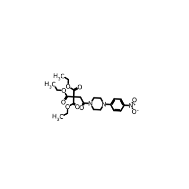 CCOC(=O)C(CC(=O)N1CCN(c2ccc([N+](=O)[O-])cc2)CC1)(C(=O)OCC)C(=O)OCC